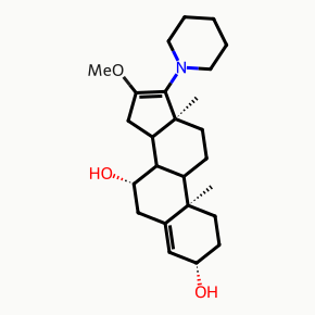 COC1=C(N2CCCCC2)[C@@]2(C)CCC3C(C2C1)[C@@H](O)CC1=C[C@@H](O)CC[C@@]13C